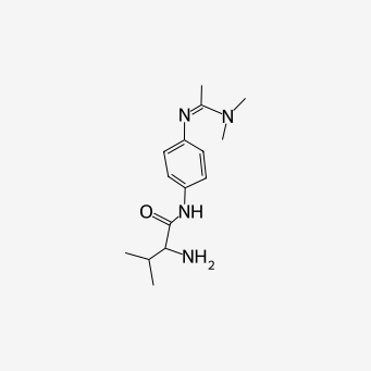 CC(=Nc1ccc(NC(=O)C(N)C(C)C)cc1)N(C)C